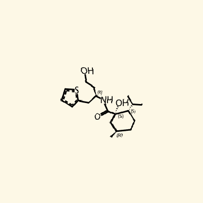 CC(C)[C@@H]1CC[C@@H](C)C[C@@]1(O)C(=O)N[C@H](CCO)Cc1cccs1